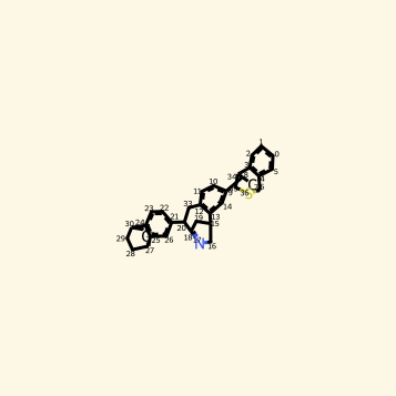 c1ccc2c(c1)C1CC(c3ccc4c(c3)C3CN=C(C3)C(c3ccc5c(c3)C3CCC5CC3)C4)C2CS1